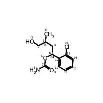 C[C@H](CO)C[C@H](OC(N)=O)c1ccccc1Cl